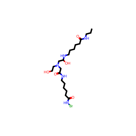 CCCNC(=O)CCCCCNC(O)CN(CCO)CC(=O)NCCCCCC(=O)NBr